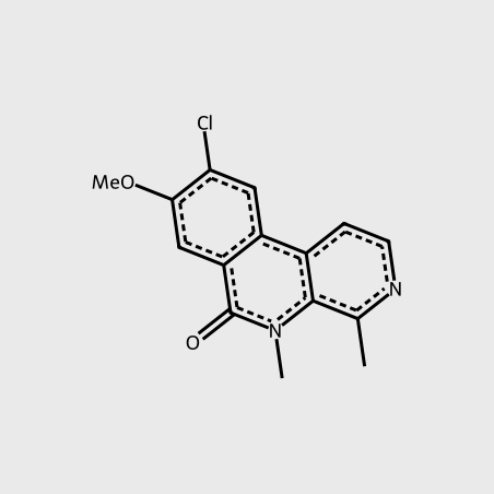 COc1cc2c(=O)n(C)c3c(C)nccc3c2cc1Cl